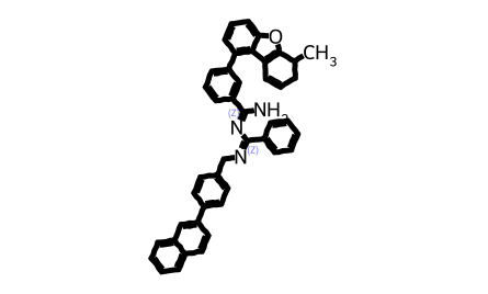 CC1CC=Cc2c1oc1cccc(-c3cccc(/C(N)=N/C(=N\Cc4ccc(-c5ccc6ccccc6c5)cc4)c4ccccc4)c3)c21